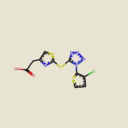 O=C(O)Cc1csc(Sc2nnnn2-c2sccc2Cl)n1